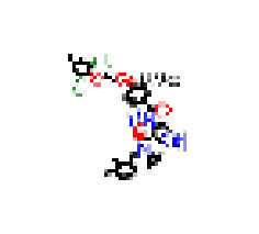 COc1cc(C(=O)NC2CCNCC2C(=O)N(Cc2cccc(C)c2C)C2CC2)ccc1OCCOc1c(Cl)cc(C)cc1Cl